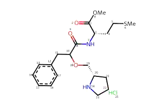 COC(=O)[C@H](CCSC)NC(=O)C(Cc1ccccc1)OC[C@@H]1CCCN1.Cl